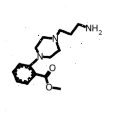 COC(=O)c1ccccc1N1CCN(CCCN)CC1